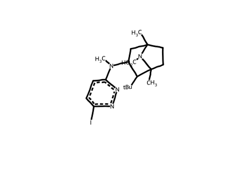 CN(c1ccc(I)nn1)C1CC2(C)CCC(C)(C1C(C)(C)C)N2C(=O)O